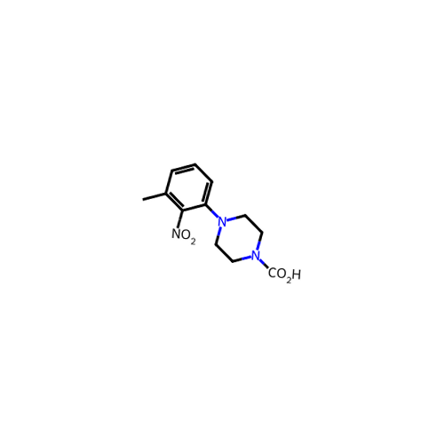 Cc1cccc(N2CCN(C(=O)O)CC2)c1[N+](=O)[O-]